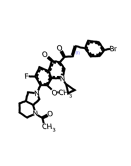 COc1c(N2CC3CCCN(C(C)=O)C3C2)c(F)cc2c(=O)c(C(=O)/C=C/c3ccc(Br)cc3)cn(C3CC3)c12